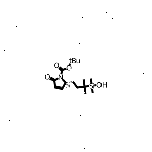 CC(C)(C)OC(=O)N1C(=O)C=C[C@H]1CCC(C)(C)[Si](C)(C)O